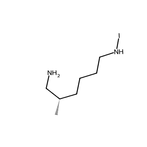 C[C@H](CN)CCCCNI